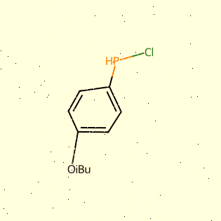 CC(C)COc1ccc(PCl)cc1